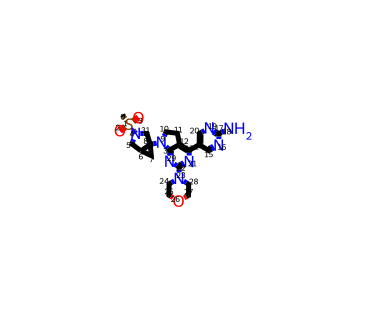 CS(=O)(=O)N1CC2CC2(N2CCc3c(-c4cnc(N)nc4)nc(N4CCOCC4)nc32)C1